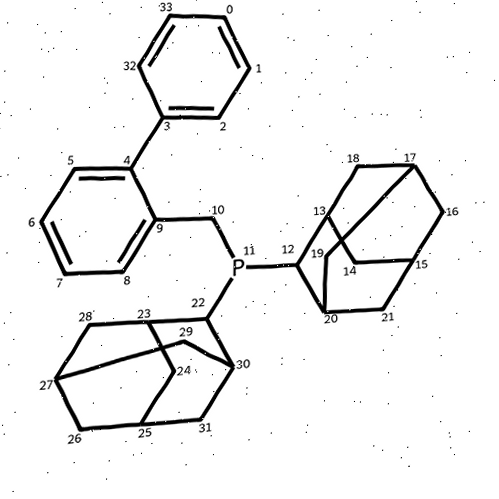 c1ccc(-c2ccccc2CP(C2C3CC4CC(C3)CC2C4)C2C3CC4CC(C3)CC2C4)cc1